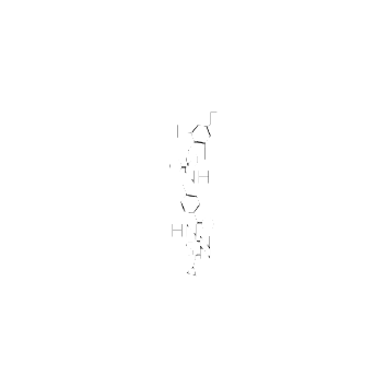 O=C(NCc1ccc(C(=O)Nc2nnc(C3CC3)s2)cc1)OCc1c(F)cc(F)cc1F